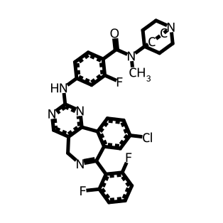 CN(C(=O)c1ccc(Nc2ncc3c(n2)-c2ccc(Cl)cc2C(c2c(F)cccc2F)=NC3)cc1F)C12CCN(CC1)CC2